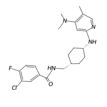 Cc1cnc(N[C@H]2CC[C@@H](CNC(=O)c3ccc(F)c(Cl)c3)CC2)cc1N(C)C